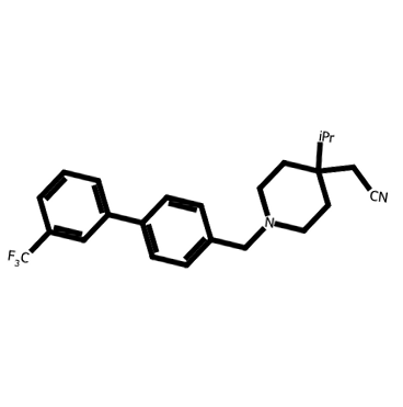 CC(C)C1(CC#N)CCN(Cc2ccc(-c3cccc(C(F)(F)F)c3)cc2)CC1